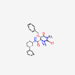 CCn1c(=O)[nH]c(C(=O)NC2CCCC(c3ccccc3)C2)c(OCc2ccccc2)c1=O